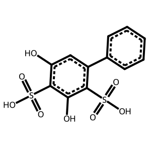 O=S(=O)(O)c1c(O)cc(-c2ccccc2)c(S(=O)(=O)O)c1O